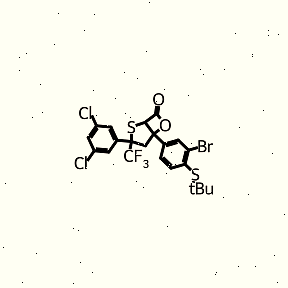 CC(C)(C)Sc1ccc(C23CC(c4cc(Cl)cc(Cl)c4)(C(F)(F)F)SC2C(=O)O3)cc1Br